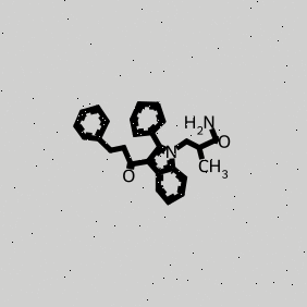 CC(Cn1c(-c2ccccc2)c(C(=O)CCc2ccccc2)c2ccccc21)C(N)=O